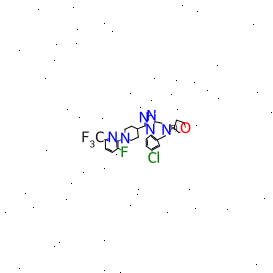 Fc1ccc(C(F)(F)F)nc1N1CCC(c2nnc3n2-c2ccc(Cl)cc2CN([C@@H]2CCOC2)C3)CC1